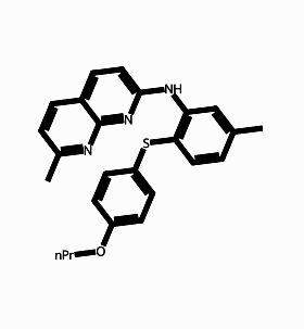 CCCOc1ccc(Sc2ccc(C)cc2Nc2ccc3ccc(C)nc3n2)cc1